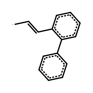 [CH2]/C=C/c1ccccc1-c1ccccc1